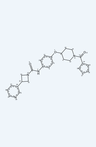 O=C(Nc1ccc(OC2CCN(C(=O)c3ccsc3)CC2)cc1)N1CC(c2cccnc2)C1